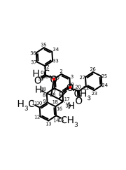 Cc1ccc(C)c2c1[C@H]1c3c(C)ccc(C)c3[C@H]2C(OC(=O)c2ccccc2)C1OC(=O)c1ccccc1